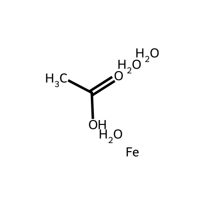 CC(=O)O.O.O.O.[Fe]